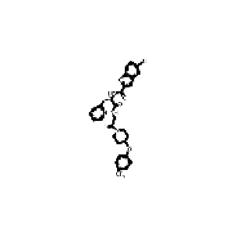 O=C(N[C@@H](Cc1ccccn1)C(=O)NCC(=O)N1CCC(Oc2ccc(C(F)(F)F)cc2)CC1)c1cc2cc(Cl)ccc2o1